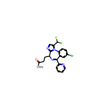 COC(=O)CCC1N=C(c2ccccn2)c2cc(Br)ccc2-n2c(C(F)F)cnc21